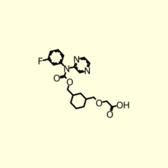 O=C(O)COCC1CCCC(COC(=O)N(c2cccc(F)c2)c2cnccn2)C1